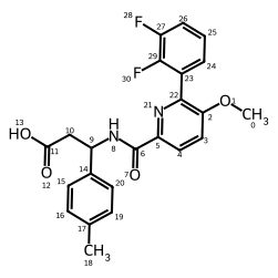 COc1ccc(C(=O)NC(CC(=O)O)c2ccc(C)cc2)nc1-c1cccc(F)c1F